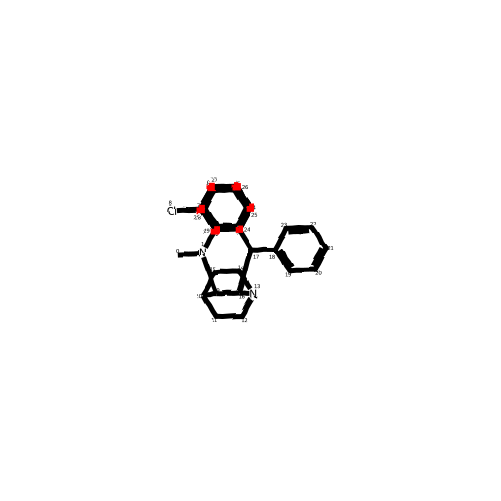 CN(c1ccccc1Cl)C1C2CCN(CC2)C1C(c1ccccc1)c1ccccc1